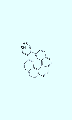 SC=c1c(=CS)c2ccc3ccc4ccc5ccc6ccc1c1c6c5c4c3c21